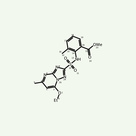 CCOc1cc(C)nc2nc(S(=O)(=O)Nc3c(C)cccc3C(=O)OC)nn12